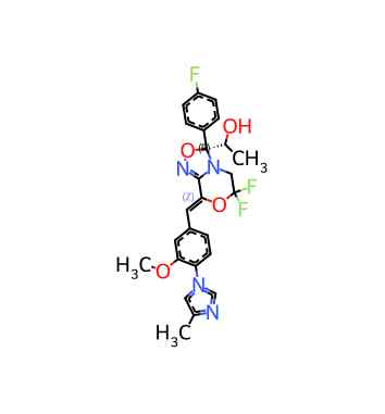 COc1cc(/C=C2\OC(F)(F)CN3C2=NO[C@]3(c2ccc(F)cc2)C(C)O)ccc1-n1cnc(C)c1